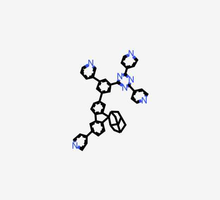 c1cncc(-c2cc(-c3ccc4c(c3)C3(c5ccc(-c6ccncc6)cc5-4)C4CC5CC(C4)CC3C5)cc(-c3nc(-c4ccncc4)nc(-c4ccncc4)n3)c2)c1